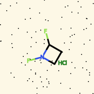 Cl.FC1CCN1F